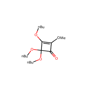 CCCCOC1=C(OC)C(=O)C1(OCCCC)OCCCC